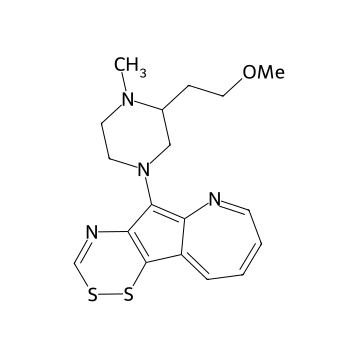 COCCC1CN(c2c3nccccc-3c3c2N=CSS3)CCN1C